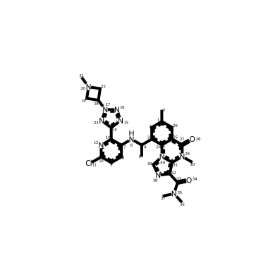 Cc1cc(C(C)Nc2ccc(Cl)nc2-c2nnn(C3CN(C)C3)n2)c2c(c1)c(=O)n(C)c1c(C(=O)N(C)C)ncn21